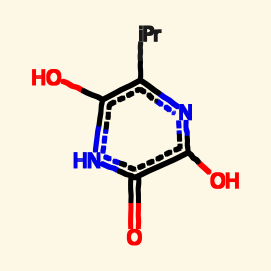 CC(C)c1nc(O)c(=O)[nH]c1O